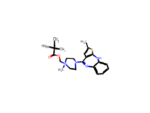 CCCCCCC(C)(C)C(=O)OC[N+]1(C)CCN(C2=Nc3ccccc3Nc3sc(C)cc32)CC1